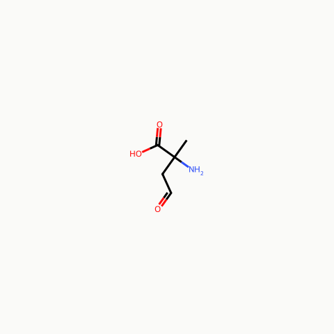 CC(N)(CC=O)C(=O)O